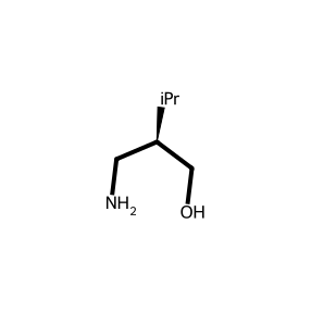 CC(C)[C@H](CN)CO